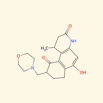 CC1CC(=O)Nc2cc(O)c3c(c21)C(=O)C(CN1CCOCC1)CC3